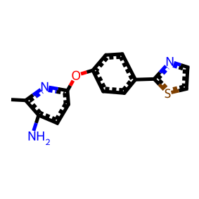 Cc1nc(Oc2ccc(-c3nccs3)cc2)ccc1N